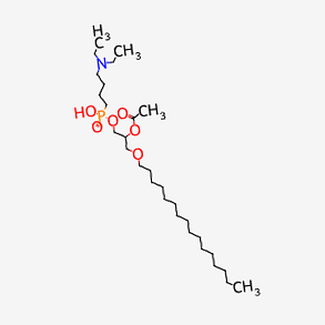 CCCCCCCCCCCCCCCCOCC(COP(=O)(O)CCCCN(CC)CC)OC(C)=O